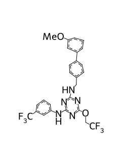 COc1cccc(-c2ccc(CNc3nc(Nc4cccc(C(F)(F)F)c4)nc(OCC(F)(F)F)n3)cc2)c1